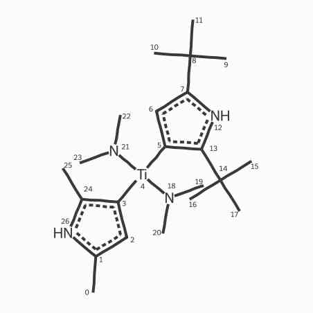 Cc1c[c]([Ti]([c]2cc(C(C)(C)C)[nH]c2C(C)(C)C)([N](C)C)[N](C)C)c(C)[nH]1